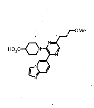 COCCCc1cnc(-c2ccc3nccn3c2)c(N2CCC(C(=O)O)CC2)n1